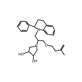 C=C(C)CCOCC(CN1c2ccccc2CCC1c1ccccc1)N1CC(O)C(O)C1